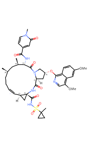 COc1ccc2c(O[C@@H]3C[C@H]4C(=O)N[C@]5(C(=O)NS(=O)(=O)C6(C)CC6)C[C@H]5/C=C\CC[C@@H](C)C[C@@H](C)[C@H](NC(=O)c5ccn(C)c(=O)c5)C(=O)N4C3)ncc(OC)c2c1